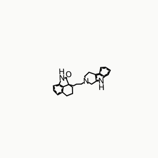 O=C1Nc2cccc3c2C1(CCCN1CCc2c([nH]c4ccccc24)C1)CCC3